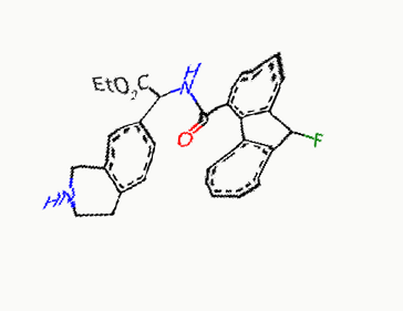 CCOC(=O)C(NC(=O)c1cccc2c1-c1ccccc1C2F)c1ccc2c(c1)CNCC2